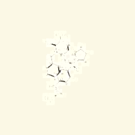 COC(=O)[C@H](Cc1ccccc1)NC(=O)[C@@H]1CCCN1S(=O)(=O)c1ccc(NSC)cc1